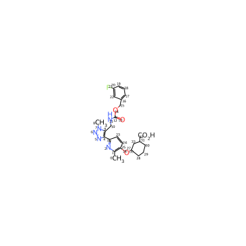 Cc1nc(-c2nnn(C)c2CNC(=O)OCc2cccc(F)c2)ccc1O[C@H]1CCCC(C(=O)O)C1